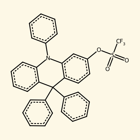 O=S(=O)(Oc1ccc2c(c1)N(c1ccccc1)c1ccccc1C2(c1ccccc1)c1ccccc1)C(F)(F)F